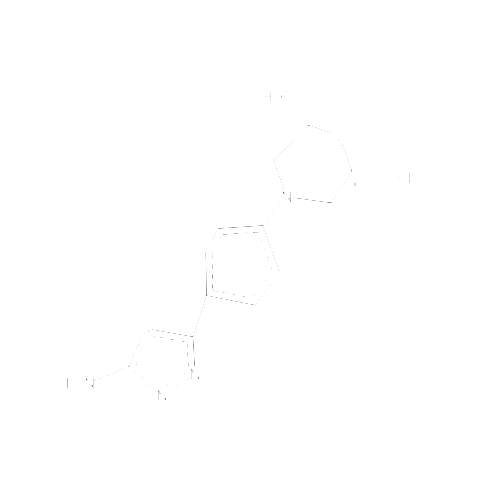 C[C@@H]1CN(c2ccc(-c3nnc(N)s3)cc2)C[C@H](C)O1